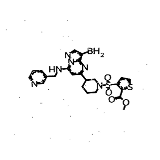 Bc1cnn2c(NCc3cccnc3)cc(C3CCCN(S(=O)(=O)c4ccsc4C(=O)OC)C3)nc12